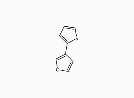 [c]1cc(-c2cccs2)co1